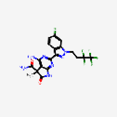 CC1(C(N)=O)C(=O)Nc2nc(-c3nn(CCC(F)(F)C(F)(F)F)c4cc(F)ccc34)nc(N)c21